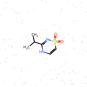 CC(C)C1=NS(=O)(=O)C=CN1